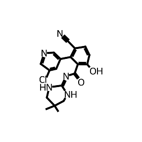 CC1(C)CNC(=NC(=O)c2c(O)ccc(C#N)c2-c2cncc(Cl)c2)NC1